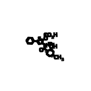 CC(C)N(C(=O)[C@@H]1CC[C@@H](C)C[C@@H]1O)c1cc(-c2ccccc2)sc1OC(=O)O